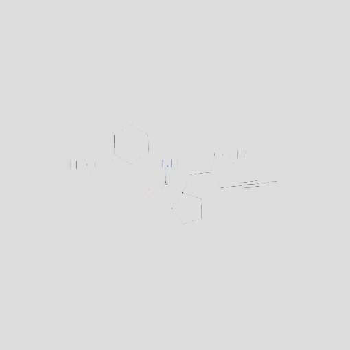 CC#CCC(CC1(C(=O)N[C@H]2CCC[C@@H](C(=O)O)C2)CCCC1)C(=O)O